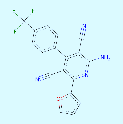 N#Cc1c(N)nc(-c2ccco2)c(C#N)c1-c1ccc(C(F)(F)F)cc1